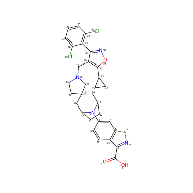 O=C(O)c1nsc2cc(N3C4CCC3CC3(CCN(Cc5c(-c6c(Cl)cccc6Cl)noc5C5CC5)C3)C4)ccc12